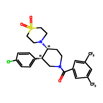 O=C(c1cc(C(F)(F)F)cc(C(F)(F)F)c1)N1CC[C@@H](N2CCS(=O)(=O)CC2)[C@@H](c2ccc(Cl)cc2)C1